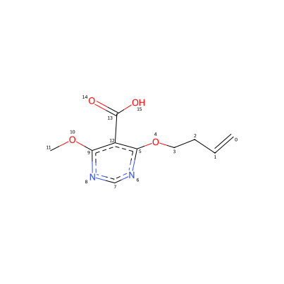 C=CCCOc1ncnc(OC)c1C(=O)O